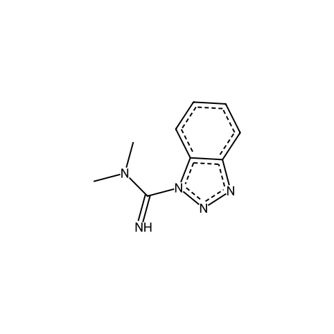 CN(C)C(=N)n1nnc2ccccc21